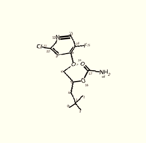 CC(C)(C)CC(COc1cc(Cl)ncc1F)OC(N)=O